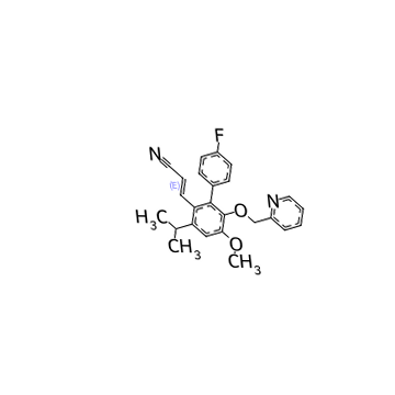 COc1cc(C(C)C)c(/C=C/C#N)c(-c2ccc(F)cc2)c1OCc1ccccn1